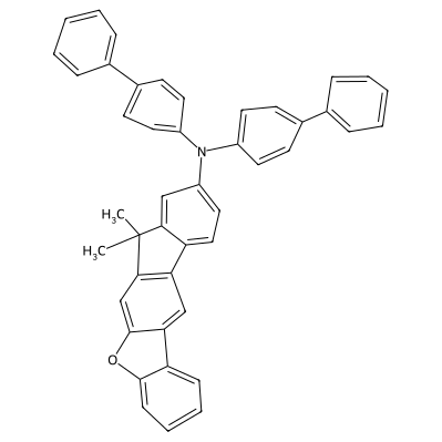 CC1(C)c2cc(N(c3ccc(-c4ccccc4)cc3)c3ccc(-c4ccccc4)cc3)ccc2-c2cc3c(cc21)oc1ccccc13